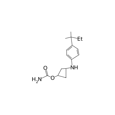 CCC(C)(C)c1ccc(NC2CC(OC(N)=O)C2)cc1